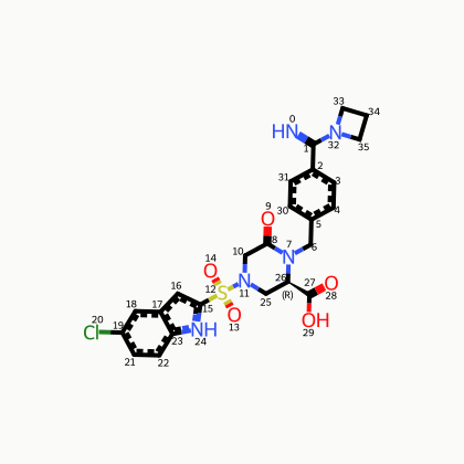 N=C(c1ccc(CN2C(=O)CN(S(=O)(=O)c3cc4cc(Cl)ccc4[nH]3)C[C@@H]2C(=O)O)cc1)N1CCC1